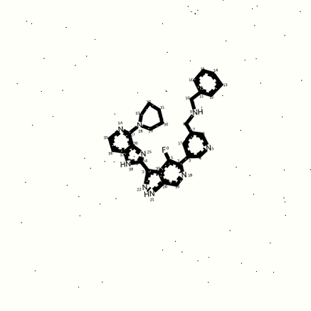 Fc1c(-c2cncc(CNCc3ccccc3)c2)ncc2[nH]nc(-c3nc4c(N5CCCCC5)nccc4[nH]3)c12